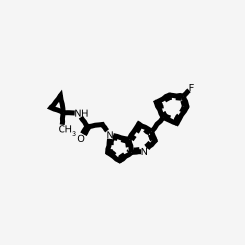 CC1(NC(=O)Cn2ccc3ncc(-c4ccc(F)cc4)cc32)CC1